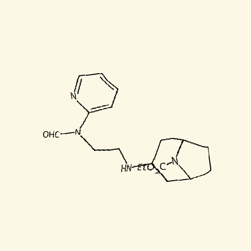 CCOC(=O)N1C2CCC1CC(NCCN(C=O)c1ccccn1)C2